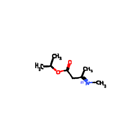 C/N=C(\C)CC(=O)OC(C)C